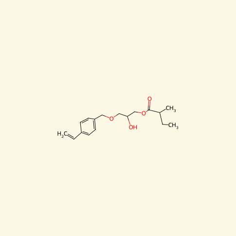 C=Cc1ccc(COCC(O)COC(=O)C(C)CC)cc1